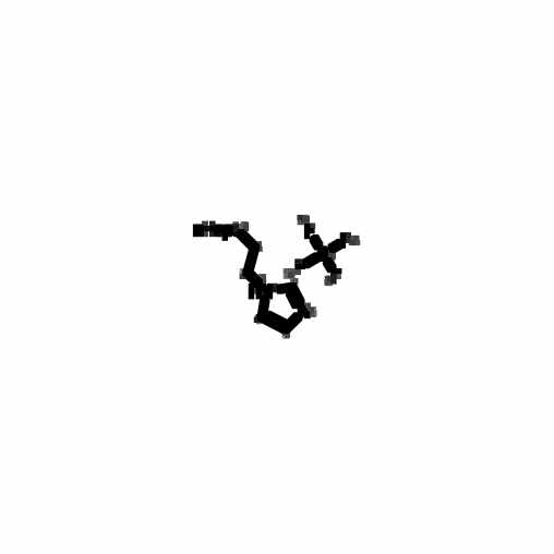 CCCCCCCCC[NH+]1C=CN=C1.F[B-](F)(F)F